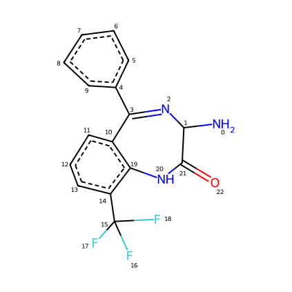 NC1N=C(c2ccccc2)c2cccc(C(F)(F)F)c2NC1=O